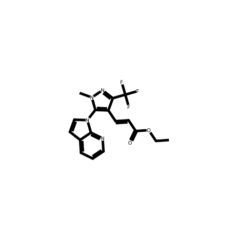 CCOC(=O)/C=C/c1c(C(F)(F)F)nn(C)c1-n1ccc2cccnc21